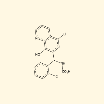 O=C(O)NC(c1ccccc1Cl)c1cc(Cl)c2cccnc2c1O